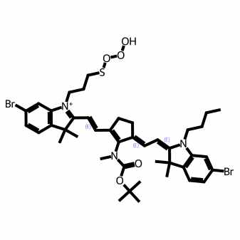 CCCCN1/C(=C/C=C2\CCC(/C=C/C3=[N+](CCCSOOO)c4cc(Br)ccc4C3(C)C)=C2N(C)C(=O)OC(C)(C)C)C(C)(C)c2ccc(Br)cc21